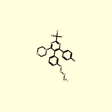 NOOSc1cccc(-c2c(-c3ccc(F)cc3)nc(C(F)(F)F)nc2N2CCOCC2)c1